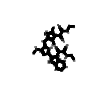 CCOC(=O)C(=O)c1c(C)[nH]c(/C=C2\N=C(c3[nH]c4ccccc4c3C(=O)C(=O)OCC)C=C2OC)c1C